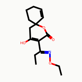 CCON=C(CC)C1=C(O)CC2(C=CCCC2)OC1=O